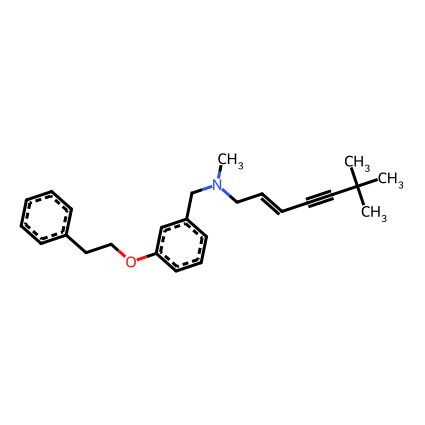 CN(C/C=C/C#CC(C)(C)C)Cc1cccc(OCCc2ccccc2)c1